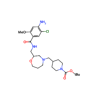 COc1cc(N)c(Cl)cc1C(=O)NCC1CN(CC2CCN(C(=O)OC(C)(C)C)CC2)CCCO1